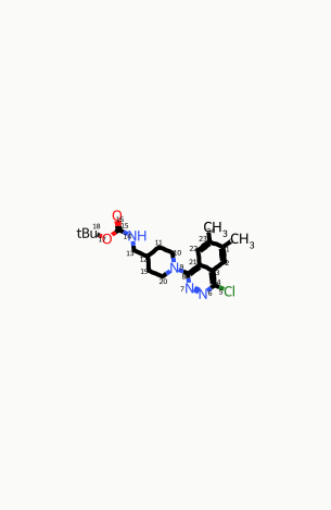 Cc1cc2c(Cl)nnc(N3CCC(CNC(=O)OC(C)(C)C)CC3)c2cc1C